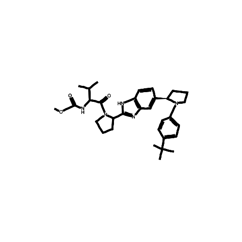 COC(=O)NC(C(=O)N1CCCC1c1nc2cc([C@H]3CCCN3c3ccc(C(C)(C)C)cc3)ccc2[nH]1)C(C)C